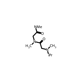 CNC(=O)CN(C)C(=O)CN(C)C(C)C